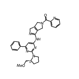 COC[C@@H]1CCCN1c1nc(NC2=NCC3=C2CN(C(=O)c2ccccn2)C3)cc(-c2ccccc2)n1